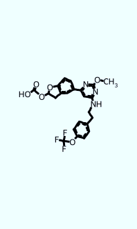 COc1nc(NCCc2ccc(OC(F)(F)F)cc2)cc(-c2ccc3c(c2)CC(OC(=O)O)O3)n1